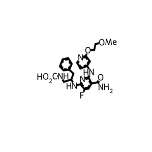 COCCOc1cc(Nc2nc(NC(CNC(=O)O)Cc3ccccc3)c(F)cc2C(N)=O)ccn1